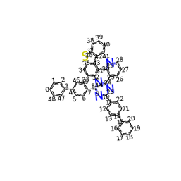 c1ccc(-c2ccc(-c3nc(-c4ccc(-c5ccccc5)cc4)nc(-c4cccnc4-c4cccc5sc6ccccc6c45)n3)cc2)cc1